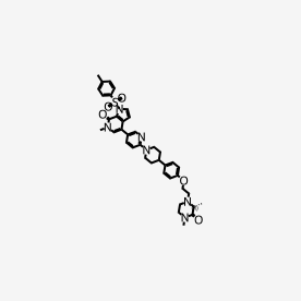 Cc1ccc(S(=O)(=O)n2ccc3c(-c4ccc(N5CCC(c6ccc(OCCN7CCN(C)C(=O)[C@H]7C)cc6)CC5)nc4)cn(C)c(=O)c32)cc1